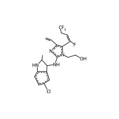 C=Cc1nc(NC2c3cc(Cl)ccc3NC2C)n(CCO)c1/C(F)=C\CC(F)(F)F